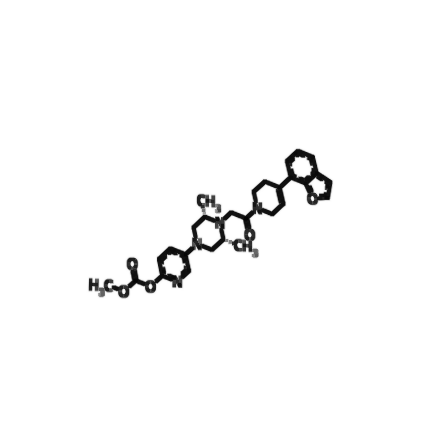 COC(=O)Oc1ccc(N2C[C@@H](C)N(CC(=O)N3CC=C(c4cccc5ccoc45)CC3)[C@@H](C)C2)cn1